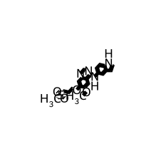 COc1cc2c(Nc3ccc4[nH]ccc4c3)ncnc2cc1OCCCS(C)(=O)=O